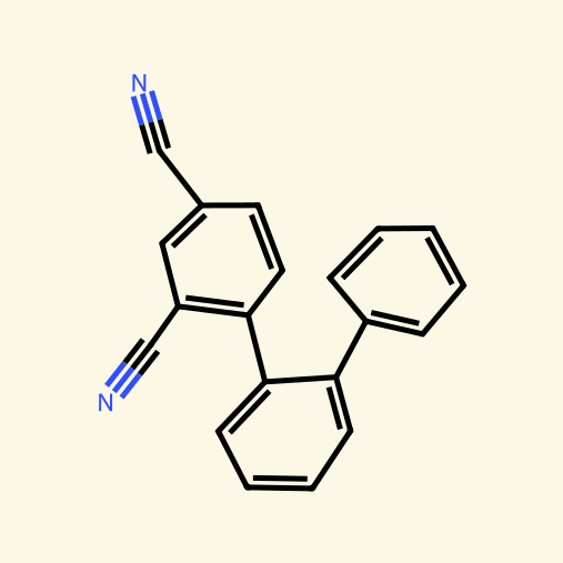 N#Cc1ccc(-c2ccccc2-c2ccccc2)c(C#N)c1